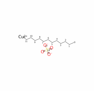 CCCCCCCCCCC[CH2][Cu+2].O=S(=O)([O-])[O-]